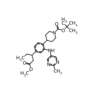 CCC(CC(=O)OC)c1ccc(C2CCN(C(=O)OC(C)(C)C)CC2)c(Nc2cnc(C)nc2)c1